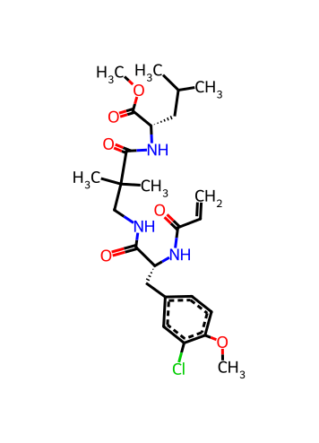 C=CC(=O)N[C@H](Cc1ccc(OC)c(Cl)c1)C(=O)NCC(C)(C)C(=O)N[C@@H](CC(C)C)C(=O)OC